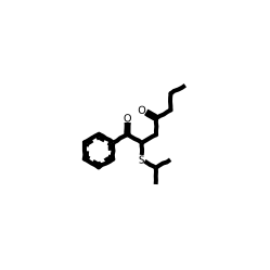 CCCC(=O)CC(SC(C)C)C(=O)c1ccccc1